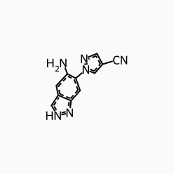 N#Cc1cnn(-c2cc3n[nH]cc3cc2N)c1